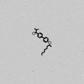 CCCCCCC(C)Oc1ccc(-c2ccc(C(=O)C(C)C)cc2)cc1